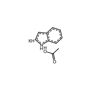 CC(=O)O.[KH].c1ccc2[nH]ccc2c1